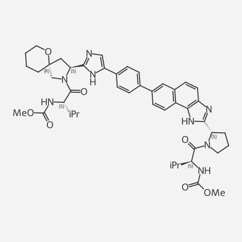 COC(=O)N[C@H](C(=O)N1C[C@@]2(CCCCO2)C[C@H]1c1ncc(-c2ccc(-c3ccc4c(ccc5nc([C@@H]6CCCN6C(=O)[C@@H](NC(=O)OC)C(C)C)[nH]c54)c3)cc2)[nH]1)C(C)C